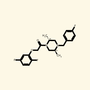 C[C@@H]1CN(Cc2ccc(F)cc2)[C@@H](C)CN1C(=O)COc1cc(F)ccc1F